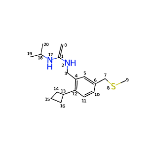 C=C(NCc1cc(CSC)ccc1C1CCC1)NC(C)C